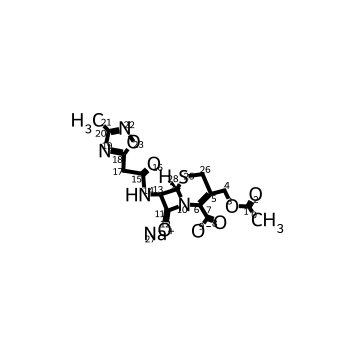 CC(=O)OCC1=C(C(=O)[O-])N2C(=O)C(NC(=O)Cc3nc(C)no3)[C@@H]2SC1.[Na+]